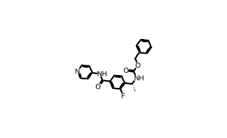 C[C@@H](NC(=O)OCc1ccccc1)c1ccc(C(=O)Nc2ccncc2)cc1F